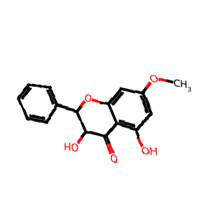 COc1cc(O)c2c(c1)OC(c1ccccc1)C(O)C2=O